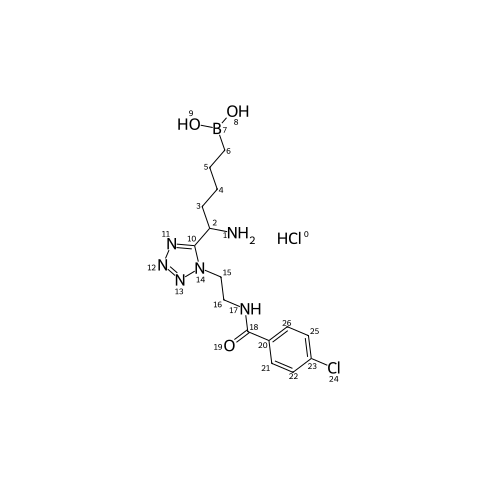 Cl.NC(CCCCB(O)O)c1nnnn1CCNC(=O)c1ccc(Cl)cc1